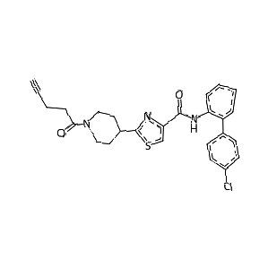 C#CCCC(=O)N1CCC(c2nc(C(=O)Nc3ccccc3-c3ccc(Cl)cc3)cs2)CC1